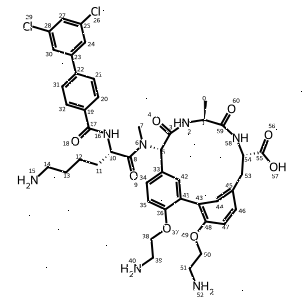 C[C@@H]1NC(=O)[C@@H](N(C)C(=O)[C@H](CCCCN)NC(=O)c2ccc(-c3cc(Cl)cc(Cl)c3)cc2)c2ccc(OCCN)c(c2)-c2cc(ccc2OCCN)C[C@@H](C(=O)O)NC1=O